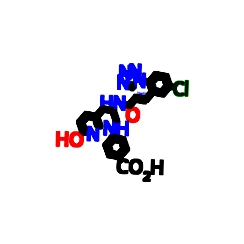 O=C(/C=C/c1cc(Cl)ccc1-n1cnnn1)NC(CNc1ccc(C(=O)O)cc1)Cc1ccc(O)nc1